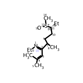 CC/N=C(\C=C(C)C)C(C)CC[C@@H](CC)[S+](C)[O-]